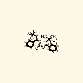 CC(C)(C)C[C@@H](O[PH](=O)O[C@H](CC(C)(C)C)c1ccccc1)c1ccccc1